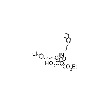 CCOC(=O)COC(C(=O)O)C(OCCCCCc1ccc(Cl)cc1)C(=O)NCCCCCc1ccc2ccccc2c1